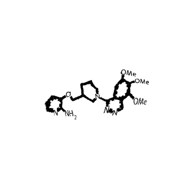 COc1cc2c(N3CCCC(COc4cccnc4N)C3)nncc2c(OC)c1OC